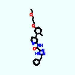 CCOCCCOc1ccc(C)c(-c2ccnc(NC(=O)c3nnc(Cc4ccccc4)[nH]3)c2)c1